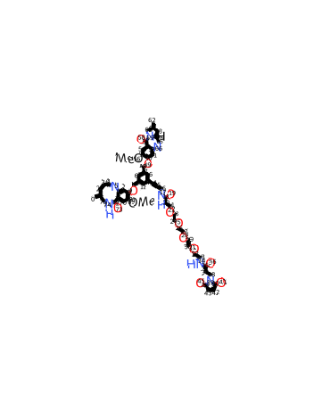 C=C1CC/C=N\c2cc(OCc3cc(C#CCNC(=O)CCOCCOCCOCCOCCNC(=O)CCN4C(=O)C=CC4=O)cc(COc4cc5c(cc4OC)C(=O)N4CC(=C)C[C@H]4C=N5)c3)c(OC)cc2C(=O)NC1